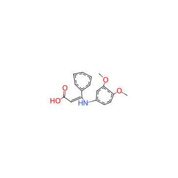 COc1ccc(NC(=CC(=O)O)c2ccccc2)cc1OC